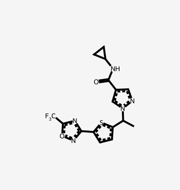 CC(c1ccc(-c2noc(C(F)(F)F)n2)s1)n1cc(C(=O)NC2CC2)cn1